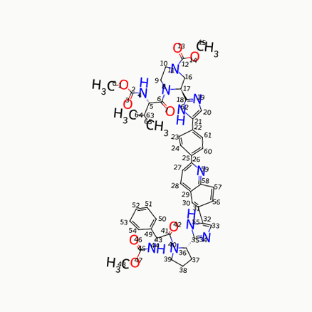 COC(=O)N[C@H](C(=O)N1CCN(C(=O)OC)C[C@H]1c1ncc(-c2ccc(-c3ccc4cc(-c5cnc([C@@H]6CCCN6C(=O)[C@H](NC(=O)OC)c6ccccc6)[nH]5)ccc4n3)cc2)[nH]1)C(C)C